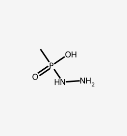 CP(=O)(O)NN